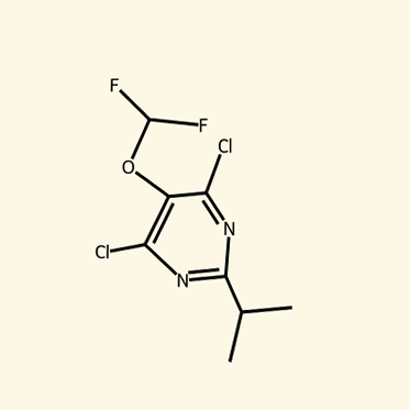 CC(C)c1nc(Cl)c(OC(F)F)c(Cl)n1